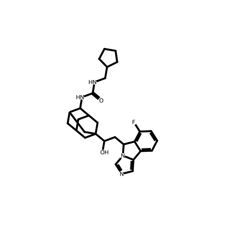 O=C(NCC1CCCC1)NC1C2CC3CC1CC(C(O)CC1c4c(F)cccc4-c4cncn41)(C3)C2